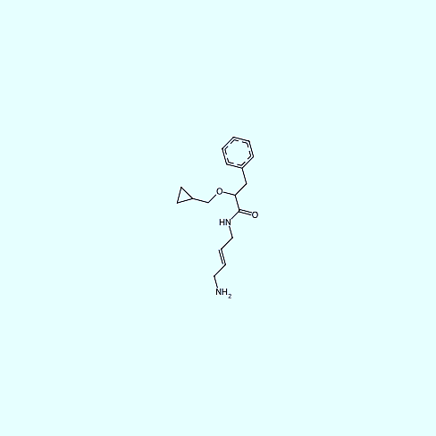 NCC=CCNC(=O)C(Cc1ccccc1)OCC1CC1